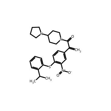 C=C(C(=O)N1CCC(N2CCCC2)CC1)c1ccc(Sc2ccccc2C(C)C)c([N+](=O)[O-])c1